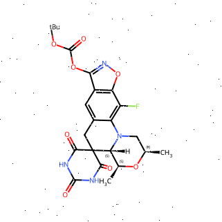 C[C@@H]1CN2c3c(cc4c(OC(=O)OC(C)(C)C)noc4c3F)CC3(C(=O)NC(=O)NC3=O)[C@H]2[C@H](C)O1